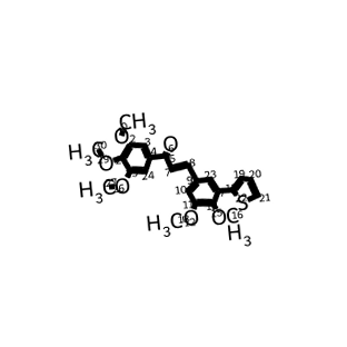 COc1cc(C(=O)C=Cc2cc(OC)c(OC)c(-c3cccs3)c2)cc(OC)c1OC